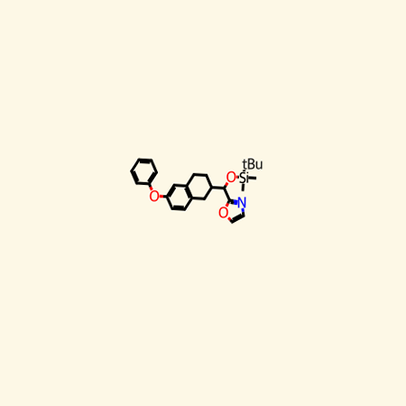 CC(C)(C)[Si](C)(C)OC(c1ncco1)C1CCc2cc(Oc3ccccc3)ccc2C1